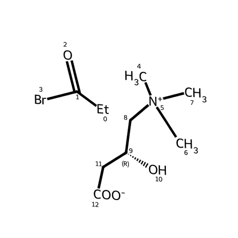 CCC(=O)Br.C[N+](C)(C)C[C@H](O)CC(=O)[O-]